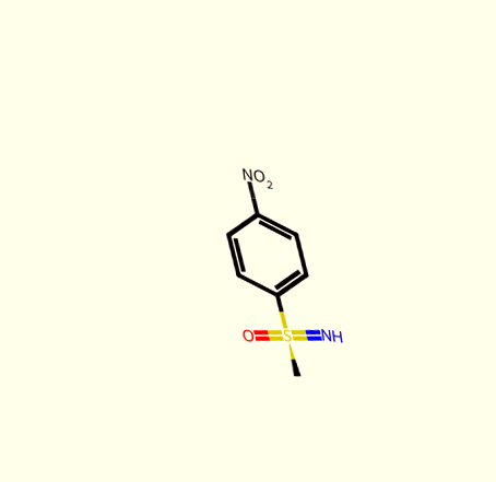 C[S@@](=N)(=O)c1ccc([N+](=O)[O-])cc1